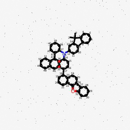 CC1(C)c2ccccc2-c2ccc(N(c3ccc(-c4cccc5c4ccc4c6ccccc6oc54)cc3)c3ccccc3-c3cccc4ccccc34)cc21